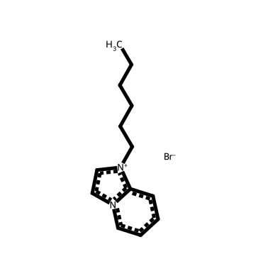 CCCCCC[n+]1ccn2ccccc21.[Br-]